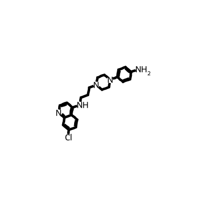 Nc1ccc(N2CCN(CCCNc3ccnc4cc(Cl)ccc34)CC2)cc1